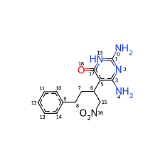 Nc1nc(N)c(C(CCc2ccccc2)C[N+](=O)[O-])c(=O)[nH]1